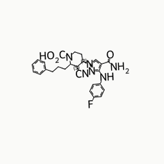 N#C[C@H]1C(CCCc2ccccc2)N(C(=O)O)CC[C@H]1n1cc(C(N)=O)c(Nc2ccc(F)cc2)n1